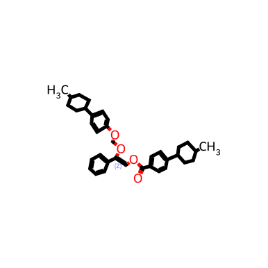 CC1CCC(c2ccc(OCO/C(=C\OC(=O)c3ccc(C4CCC(C)CC4)cc3)c3ccccc3)cc2)CC1